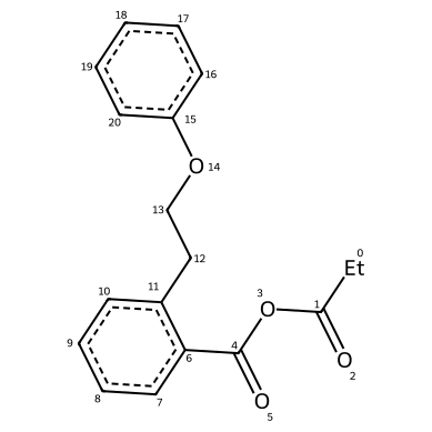 CCC(=O)OC(=O)c1ccccc1CCOc1ccccc1